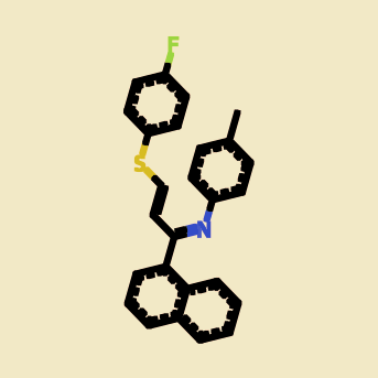 Cc1ccc(N=C(C=CSc2ccc(F)cc2)c2cccc3ccccc23)cc1